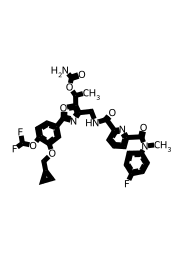 CC(OC(N)=O)c1oc(-c2ccc(OC(F)F)c(OCC3CC3)c2)nc1CNC(=O)c1cccc(C(=O)N(C)c2ccc(F)cc2)n1